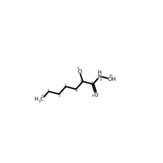 CCCCCC(Cl)C(=O)NO